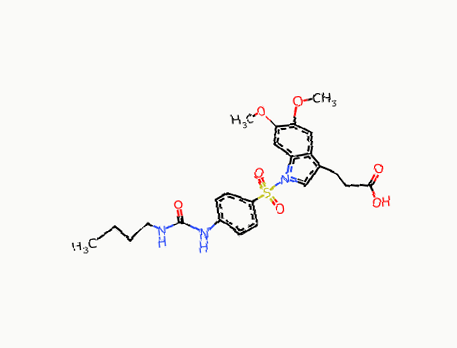 CCCCNC(=O)Nc1ccc(S(=O)(=O)n2cc(CCC(=O)O)c3cc(OC)c(OC)cc32)cc1